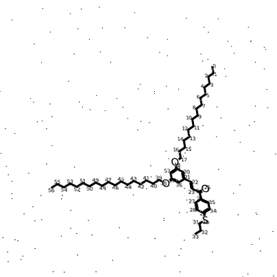 CCCCCCCCCCCCCCCCCCOc1cc(C=CC(=O)c2ccc(SCCC)cc2)cc(OCCCCCCCCCCCCCCCCCC)c1